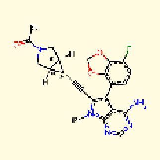 CCC(=O)N1C[C@@H]2[C@@H](C#Cc3c(-c4ccc(F)c5c4OCO5)c4c(N)ncnc4n3C(C)C)[C@@H]2C1